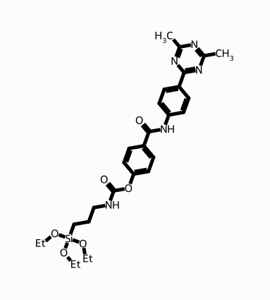 CCO[Si](CCCNC(=O)Oc1ccc(C(=O)Nc2ccc(-c3nc(C)nc(C)n3)cc2)cc1)(OCC)OCC